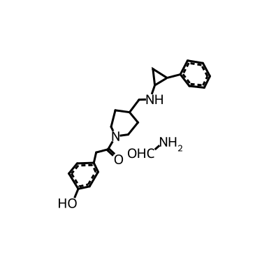 NC=O.O=C(Cc1ccc(O)cc1)N1CCC(CNC2CC2c2ccccc2)CC1